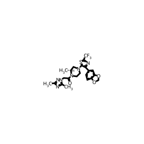 Cc1nc(C)n(CC(=O)N2CCN(c3sc(C(F)(F)F)nc3-c3ccc4c(c3)OCO4)C[C@H]2C)n1